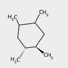 CC1C[C@@H](C)[C@H](C)CC1C